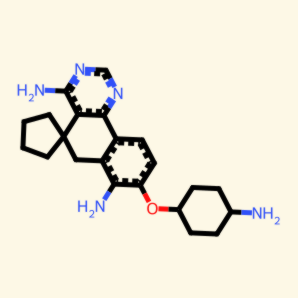 Nc1ncnc2c1C1(CCCC1)Cc1c-2ccc(OC2CCC(N)CC2)c1N